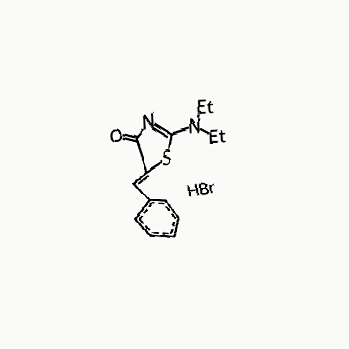 Br.CCN(CC)C1=NC(=O)C(=Cc2ccccc2)S1